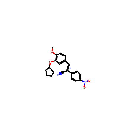 COc1ccc(/C=C(\C#N)c2ccc([N+](=O)[O-])cc2)cc1OC1CCCC1